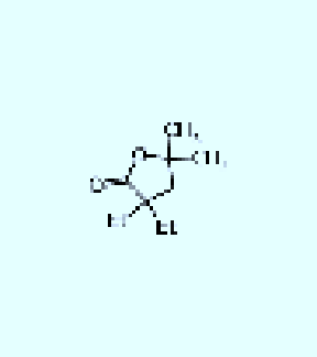 CCC1(CC)CC(C)(C)OC1=O